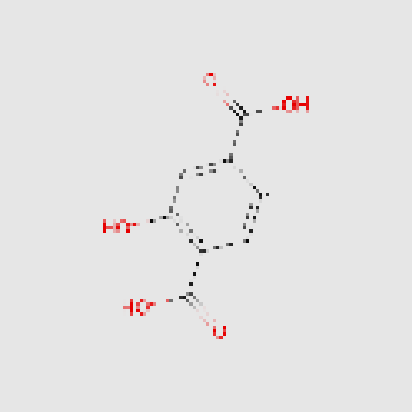 O=C(O)c1[c]cc(C(=O)O)c(O)c1